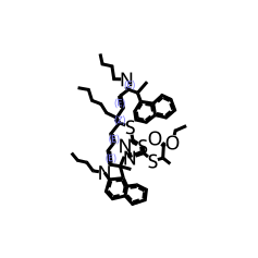 CCCCCC(/C=C/C(=N\CCCC)C(C)c1cccc2ccccc12)=C(\C=C\C=C1\N(CCCC)c2ccc3ccccc3c2C1(C)C)Sc1nnc(SC(C)C(=O)OCC)s1